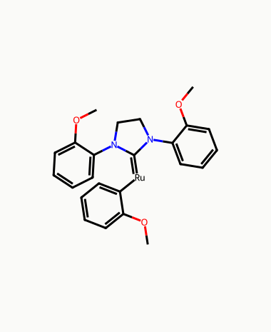 COc1cccc[c]1[Ru]=[C]1N(c2ccccc2OC)CCN1c1ccccc1OC